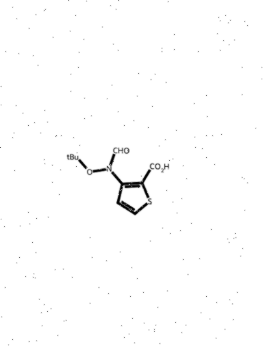 CC(C)(C)ON(C=O)c1ccsc1C(=O)O